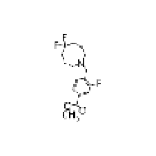 COC(=O)c1ccc(CN2CCCC(F)(F)CCC2)c(F)c1